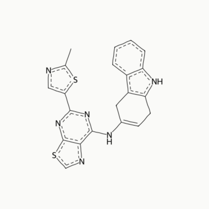 Cc1ncc(-c2nc(NC3=CCc4[nH]c5ccccc5c4C3)c3ncsc3n2)s1